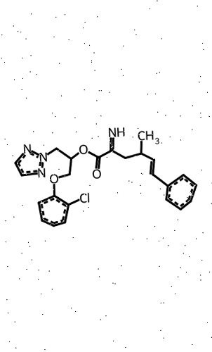 CC(C=Cc1ccccc1)CC(=N)C(=O)OC(COc1ccccc1Cl)Cn1nccn1